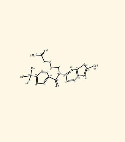 O=C(O)CCCCN(C(=O)c1ccc(C(F)(F)F)cc1)c1ccc2nc(S)sc2n1